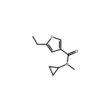 CCc1cc(C(=O)N(C)C2CC2)co1